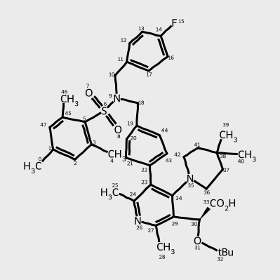 Cc1cc(C)c(S(=O)(=O)N(Cc2ccc(F)cc2)Cc2ccc(-c3c(C)nc(C)c([C@H](OC(C)(C)C)C(=O)O)c3N3CCC(C)(C)CC3)cc2)c(C)c1